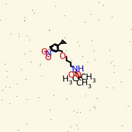 CC(C)(C)OC(=O)NCCCCOCc1cc([N+](=O)[O-])ccc1C1CC1